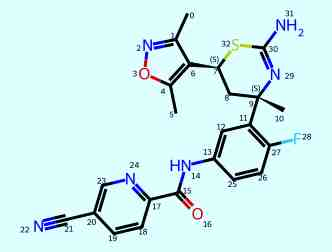 Cc1noc(C)c1[C@@H]1C[C@@](C)(c2cc(NC(=O)c3ccc(C#N)cn3)ccc2F)N=C(N)S1